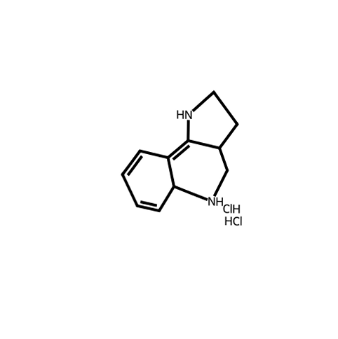 C1=CC2=C3NCCC3CNC2C=C1.Cl.Cl